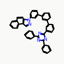 c1ccc(-c2nc(-c3ccccc3)nc(-c3cccc(-c4cccc(-c5cccc(-n6ncc7c8ccccc8ccc76)c5)c4)c3)n2)cc1